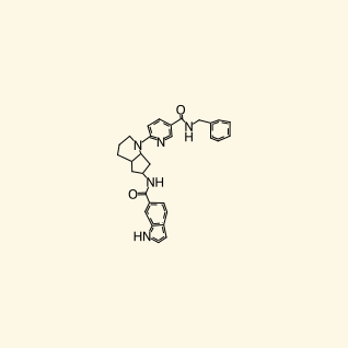 O=C(NCc1ccccc1)c1ccc(N2CCCC3CC(NC(=O)c4ccc5cc[nH]c5c4)CC32)nc1